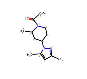 COC(=O)N1CCC(n2nc(C(F)(F)F)cc2C)CC1C